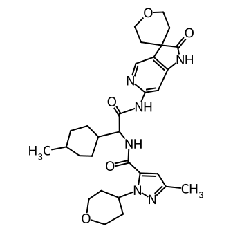 Cc1cc(C(=O)NC(C(=O)Nc2cc3c(cn2)C2(CCOCC2)C(=O)N3)C2CCC(C)CC2)n(C2CCOCC2)n1